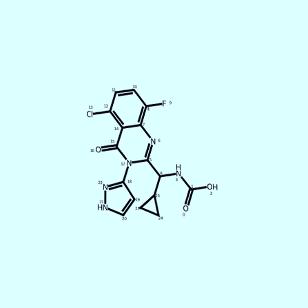 O=C(O)NC(c1nc2c(F)ccc(Cl)c2c(=O)n1-c1cc[nH]n1)C1CC1